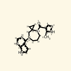 Cc1[nH]ncc1C(=O)N1CCCN(c2ncnc3[nH]ccc23)CC12CC2